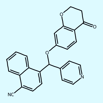 N#Cc1ccc(C(Oc2ccc3c(c2)OCCC3=O)c2ccncc2)c2ccccc12